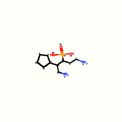 N[CH]CC(C(CN)C1CCCC1)P(=O)(O)O